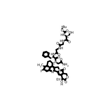 CC[C@@]1(O)C(=O)OCc2c1cc1n(c2=O)Cc2c-1nc1cc(F)c(C)c3c1c2[C@@H](N(CC(N)=O)C(=O)[C@H](Cc1ccccc1)NC(=O)CNC(=O)CNC(=O)[C@H](CO)NC(=O)OC(C)(C)C)CC3